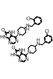 O=c1[nH]c2ncnc(N3CCC(NCc4cccc(Cl)c4)CC3)c2[nH]1.O=c1[nH]c2ncnc(N3CCC(NCc4ccccc4Cl)CC3)c2[nH]1